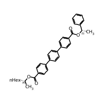 CCCCCC[C@@H](C)OC(=O)c1ccc(-c2ccc(-c3ccc(C(=O)O[C@@H](C)c4ccccc4)cc3)cc2)cc1